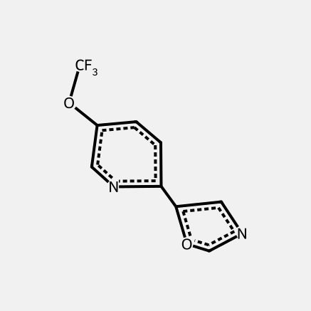 FC(F)(F)Oc1ccc(-c2cnco2)nc1